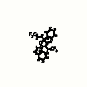 C=C[Si](CCC(F)(F)F)(O[Si](C=C)(CCC(F)(F)F)c1ccccc1)c1ccccc1